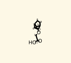 O=C(O)COC1=CC2CCC1C2